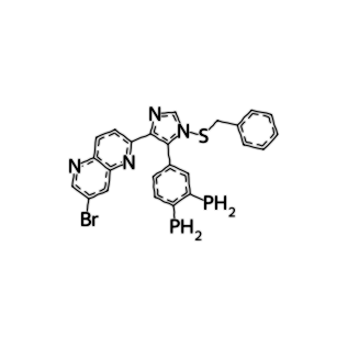 Pc1ccc(-c2c(-c3ccc4ncc(Br)cc4n3)ncn2SCc2ccccc2)cc1P